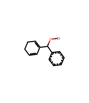 CCOC(C1=CCCC=C1)c1ccccc1